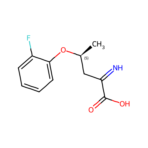 C[C@@H](CC(=N)C(=O)O)Oc1ccccc1F